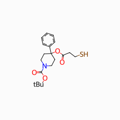 CC(C)(C)OC(=O)N1CCC(OC(=O)CCS)(c2ccccc2)CC1